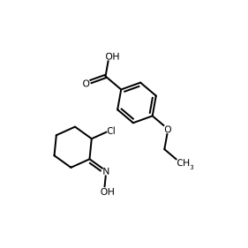 CCOc1ccc(C(=O)O)cc1.ON=C1CCCCC1Cl